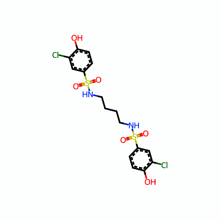 O=S(=O)(NCCCCNS(=O)(=O)c1ccc(O)c(Cl)c1)c1ccc(O)c(Cl)c1